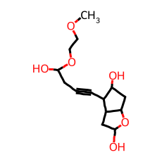 COCCOC(O)CC#CC1C(O)CC2OC(O)CC21